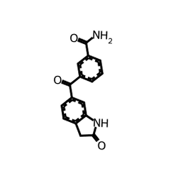 NC(=O)c1cccc(C(=O)c2ccc3c(c2)NC(=O)C3)c1